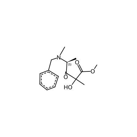 COC(=O)C(C)(O)C(=O)[C@H](C)N(C)Cc1ccccc1